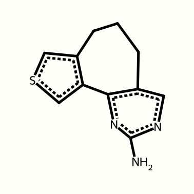 Nc1ncc2c(n1)-c1cscc1CCC2